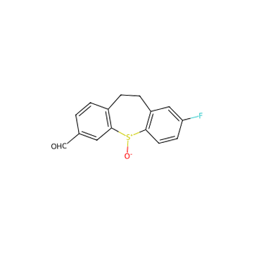 O=Cc1ccc2c(c1)[S+]([O-])c1ccc(F)cc1CC2